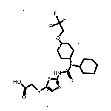 O=C(O)CSc1cnc(NC(=O)N(C2CCCCC2)C2CCC(OCC(F)(F)F)CC2)s1